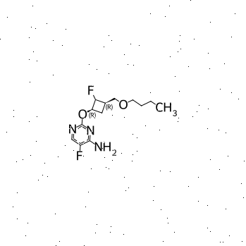 CCCCOC[C@H]1C[C@@H](Oc2ncc(F)c(N)n2)C1F